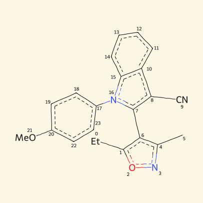 CCc1onc(C)c1-c1c(C#N)c2ccccc2n1-c1ccc(OC)cc1